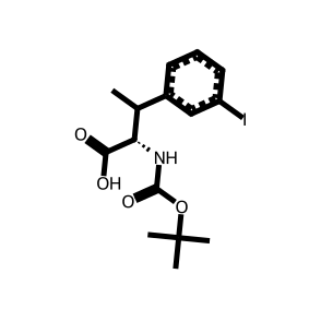 CC(c1cccc(I)c1)[C@H](NC(=O)OC(C)(C)C)C(=O)O